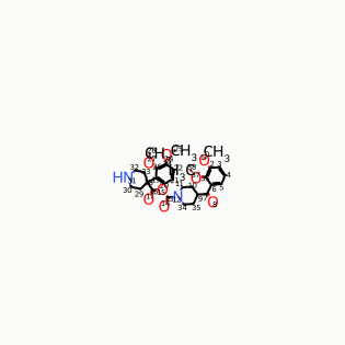 COc1cccc(C(=O)C2CCN(C(=O)OC(=O)C3(c4cccc(OC)c4OC)CCNCC3)CC2)c1OC